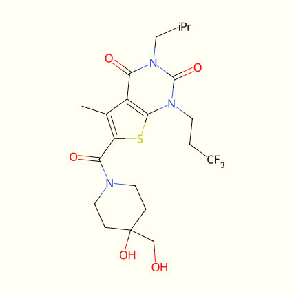 Cc1c(C(=O)N2CCC(O)(CO)CC2)sc2c1c(=O)n(CC(C)C)c(=O)n2CCC(F)(F)F